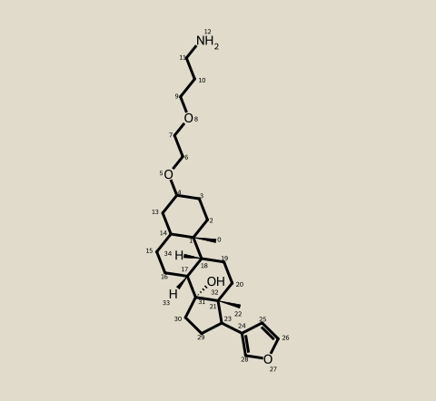 C[C@]12CCC(OCCOCCCN)CC1CC[C@@H]1[C@H]2CC[C@]2(C)C(c3ccoc3)CC[C@@]12O